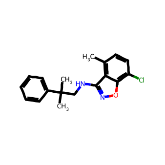 Cc1ccc(Cl)c2onc(NCC(C)(C)c3ccccc3)c12